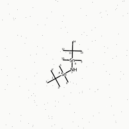 C[C](C)(C)[Sn]([CH3])([CH3])[NH][Sn]([CH3])([CH3])[C](C)(C)C